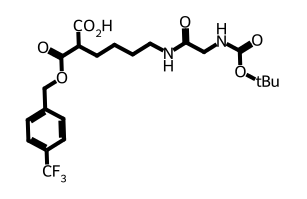 CC(C)(C)OC(=O)NCC(=O)NCCCCC(C(=O)O)C(=O)OCc1ccc(C(F)(F)F)cc1